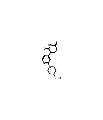 O=CC1CCN(c2cc(C3CCC(=O)NC3=O)ccn2)CC1